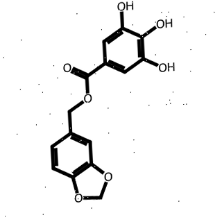 O=C(OCc1ccc2c(c1)OCO2)c1cc(O)c(O)c(O)c1